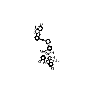 COc1cc(N2CCC[C@@H](C#Cc3cccc4c3CN([C@@H]3CCC(=O)NC3=O)C4=O)C2)ccc1NC(=O)[C@@H]1N[C@@H](CC(C)(C)C)[C@@]2(CNc3cc(Cl)ccc32)[C@H]1c1cccc(Cl)c1F